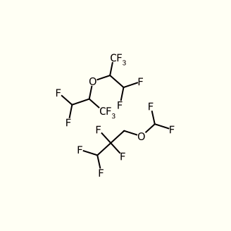 FC(F)C(OC(C(F)F)C(F)(F)F)C(F)(F)F.FC(F)OCC(F)(F)C(F)F